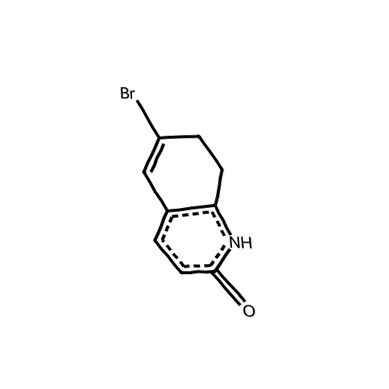 O=c1ccc2c([nH]1)CCC(Br)=C2